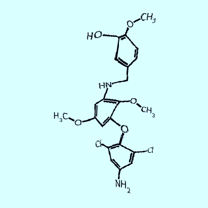 COc1cc(NCc2ccc(OC)c(O)c2)c(OC)c(Oc2c(Cl)cc(N)cc2Cl)c1